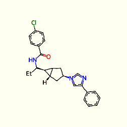 CCC(NC(=O)c1ccc(Cl)cc1)[C@H]1C2C[C@@H](n3cnc(-c4ccccc4)c3)C[C@@H]21